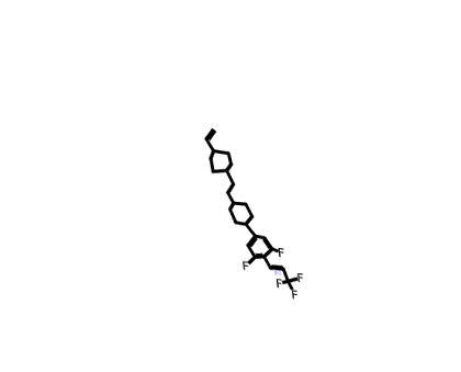 C=CC1CCC(CCC2CCC(c3cc(F)c(/C=C/C(F)(F)F)c(F)c3)CC2)CC1